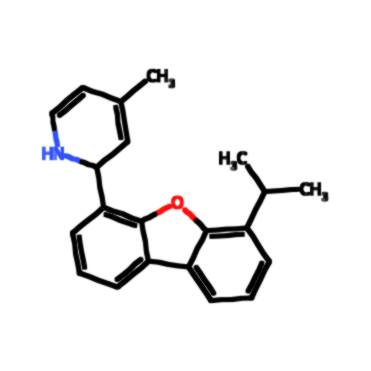 CC1=CC(c2cccc3c2oc2c(C(C)C)cccc23)NC=C1